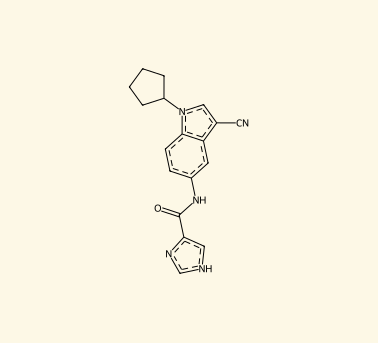 N#Cc1cn(C2CCCC2)c2ccc(NC(=O)c3c[nH]cn3)cc12